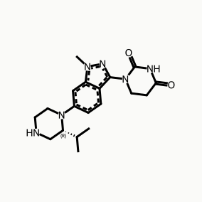 CC(C)[C@@H]1CNCCN1c1ccc2c(N3CCC(=O)NC3=O)nn(C)c2c1